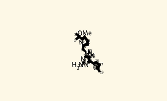 COC(C)(C)c1cccc(Cn2nnc3c(-c4ccc(C)o4)nc(N)nc32)n1